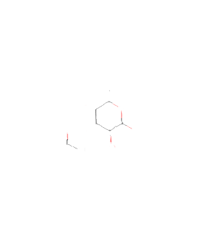 C[C@@H]1OC(O)[C@@H](O)[C@H](O)[C@@H]1O.[CH2]CO